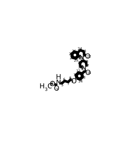 COC(=O)NCCCCOc1ccc(C(=O)N2CCC(N3C(=O)CCc4ccccc43)CC2)cc1